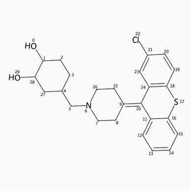 OC1CCC(CN2CCC(=C3c4ccccc4Sc4ccc(Cl)cc43)CC2)CC1O